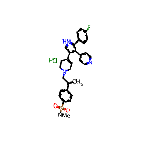 CNS(=O)(=O)c1ccc(C(C)CN2CC=C(c3c[nH]c(-c4ccc(F)cc4)c3-c3ccncc3)CC2)cc1.Cl